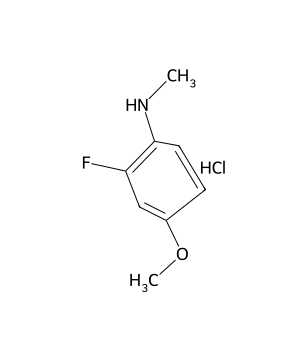 CNc1ccc(OC)cc1F.Cl